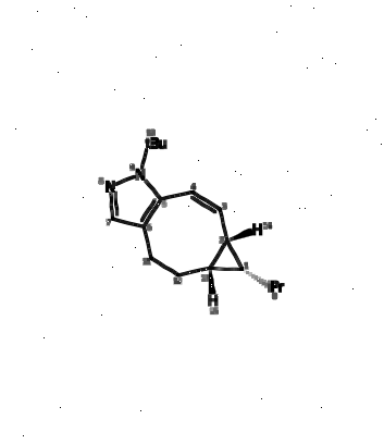 CC(C)[C@H]1[C@H]2/C=C\c3c(cnn3C(C)(C)C)CC[C@H]21